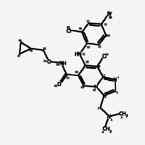 CN(C)Cc1cnc2c(Cl)c(Nc3ccc(Br)cc3Cl)c(C(=O)NOCC3CC3)cn12